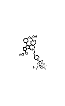 CC(C)(C)OC(=O)N1CCN(CCN2C=C3C(=C(C4CCCCC4)C4=CC=C(Cl)C34)C3=C(CN=C(C(=O)O)S3)C2)CC1.Cl